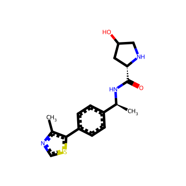 Cc1ncsc1-c1ccc([C@H](C)NC(=O)[C@@H]2CC(O)CN2)cc1